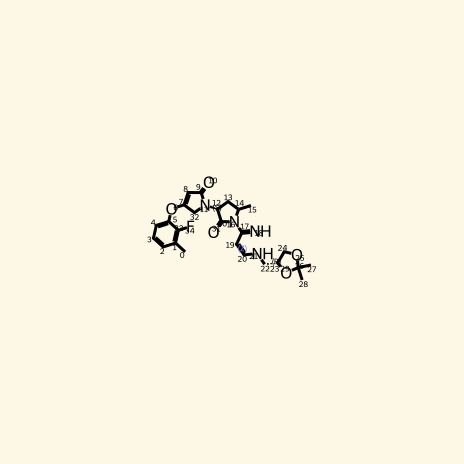 Cc1cccc(OC2=CC(=O)N([C@H]3CC(C)N(C(=N)/C=C\NC[C@@H]4COC(C)(C)O4)C3=O)C2)c1F